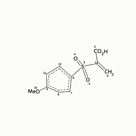 C=C(C(=O)O)S(=O)(=O)c1ccc(OC)cc1